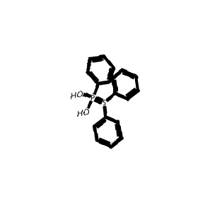 OP(O)(c1ccccc1)=S(c1ccccc1)c1ccccc1